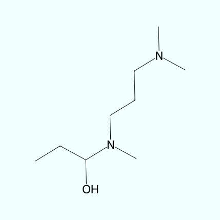 CCC(O)N(C)CCCN(C)C